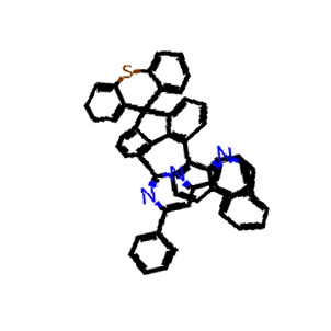 C1=C2Sc3ccccc3C3(C2=CCC1)c1cccc(-c2nc(-c4ccccc4)cc(-c4cccc5ccccc45)n2)c1-c1c(-c2cccc4cccnc24)cccc13